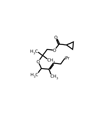 CC(=CCC(C)C)C(C)OC(C)(C)COC(=O)C1CC1